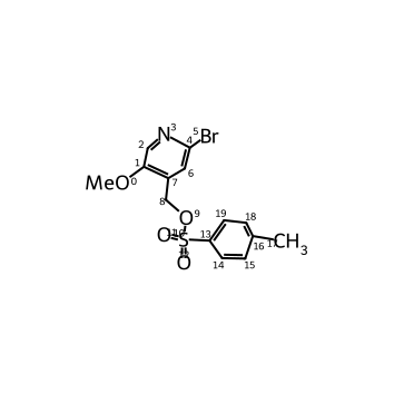 COc1cnc(Br)cc1COS(=O)(=O)c1ccc(C)cc1